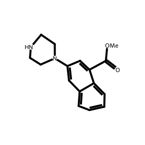 COC(=O)c1cc(N2CCNCC2)cc2ccccc12